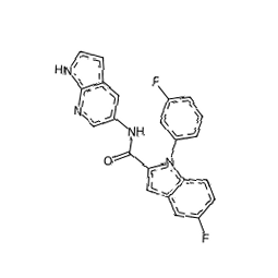 O=C(Nc1cnc2[nH]ccc2c1)c1cc2cc(F)ccc2n1-c1cccc(F)c1